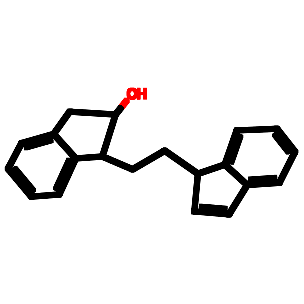 OC1Cc2ccccc2C1CCC1C=Cc2ccccc21